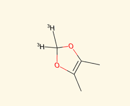 [3H]C1([3H])OC(C)=C(C)O1